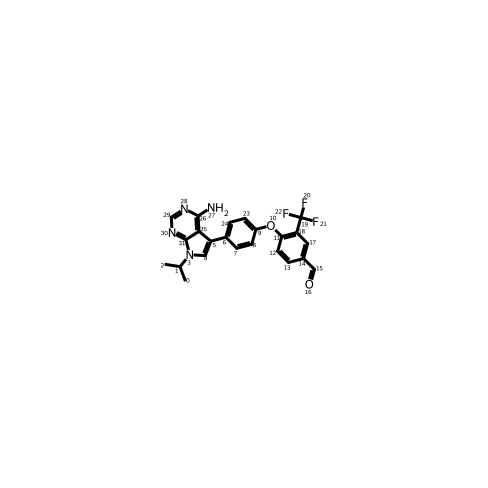 CC(C)n1cc(-c2ccc(Oc3ccc(C=O)cc3C(F)(F)F)cc2)c2c(N)ncnc21